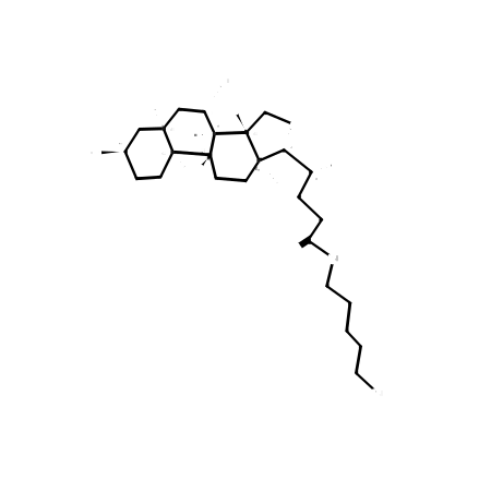 C[C@H](CCC(=O)NCCCCCN)[C@H]1CC[C@H]2[C@@H]3[C@@H](O)C[C@@H]4C[C@H](O)CC[C@]4(C)[C@H]3CC[C@]12C